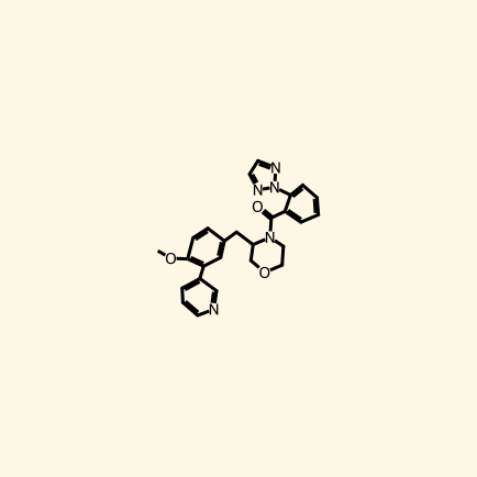 COc1ccc(CC2COCCN2C(=O)c2ccccc2-n2nccn2)cc1-c1cccnc1